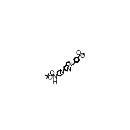 COC(=O)c1ccc(Cn2ccc3cc(N4CCC(NC(=O)OC(C)(C)C)CC4)cnc32)cc1